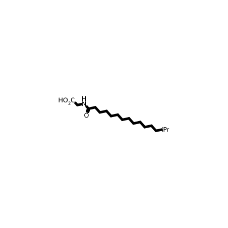 CC(C)CCCCCCCCCCCCC(=O)NCC(=O)O